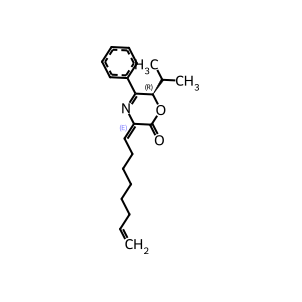 C=CCCCCC/C=C1/N=C(c2ccccc2)[C@@H](C(C)C)OC1=O